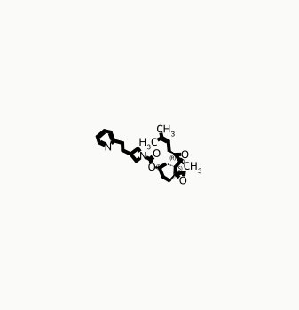 CC(C)=CC[C@H]1O[C@]1(C)[C@H]1C[C@H](OC(=O)N2CC(CCc3ccccn3)C2)CC[C@]12CO2